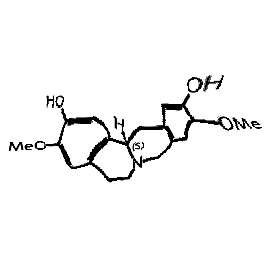 COc1cc2c(cc1O)C[C@H]1c3cc(O)c(OC)cc3CCN1C2